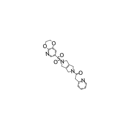 O=C(Cc1ccccn1)N1CC2=C(C1)CN(S(=O)(=O)c1cnc3c(c1)OCCO3)C2